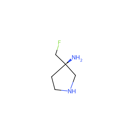 N[C@]1(CF)CCNC1